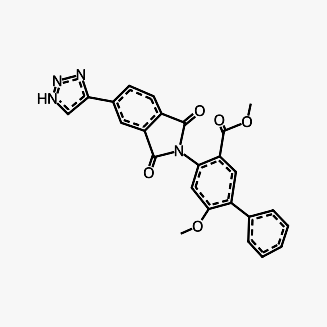 COC(=O)c1cc(-c2ccccc2)c(OC)cc1N1C(=O)c2ccc(-c3c[nH]nn3)cc2C1=O